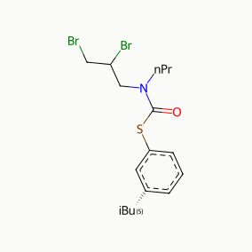 CCCN(CC(Br)CBr)C(=O)Sc1cccc([C@@H](C)CC)c1